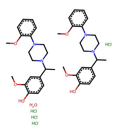 COc1cc(C(C)N2CCN(c3ccccc3OC)CC2)ccc1O.COc1cc(C(C)N2CCN(c3ccccc3OC)CC2)ccc1O.Cl.Cl.Cl.Cl.O